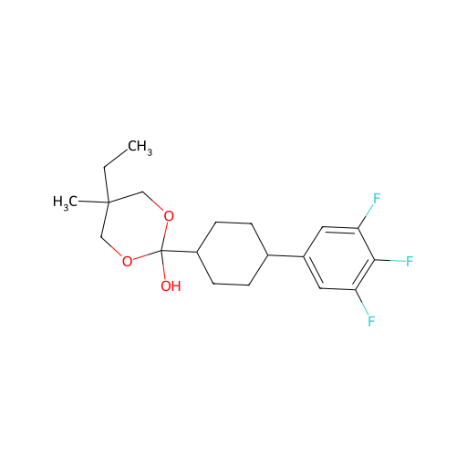 CCC1(C)COC(O)(C2CCC(c3cc(F)c(F)c(F)c3)CC2)OC1